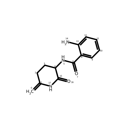 C=C1CCC(NC(=O)c2ccccc2N)C(=O)N1